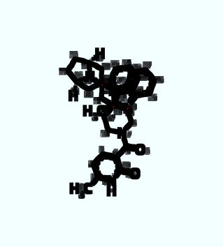 Cc1ccc(C(=O)N2CCC(CCN3[C@@H]4CC[C@H]3CC(n3c(C)nc5ccccc53)C4)(c3ccccc3)CC2)c(=O)[nH]1